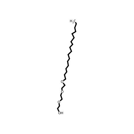 CCCCCCCCCCCCCCCCCCOCCOCCOCCO